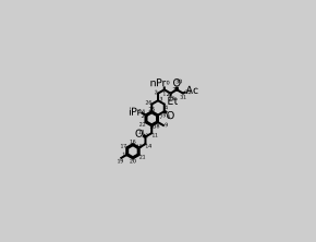 CCCC(CC1CC(=O)c2c(C)c(CC(=O)Cc3ccc(C)cc3)cc(C(C)C)c2C1)C(CC)C(=O)CC(C)=O